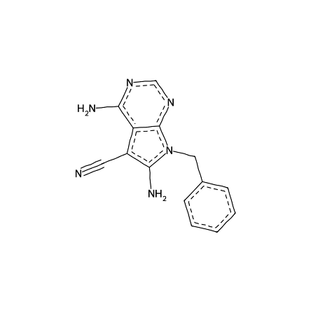 N#Cc1c(N)n(Cc2ccccc2)c2ncnc(N)c12